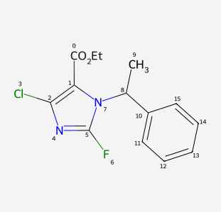 CCOC(=O)c1c(Cl)nc(F)n1C(C)c1ccccc1